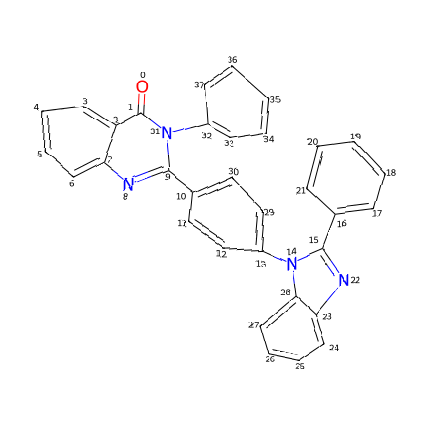 O=c1c2ccccc2nc(-c2ccc(-n3c(-c4ccccc4)nc4ccccc43)cc2)n1-c1ccccc1